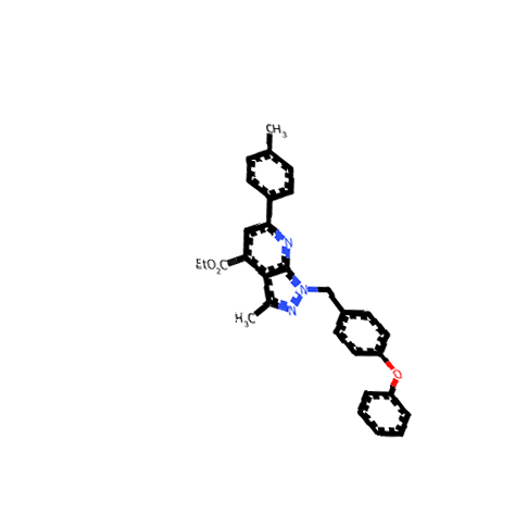 CCOC(=O)c1cc(-c2ccc(C)cc2)nc2c1c(C)nn2Cc1ccc(Oc2ccccc2)cc1